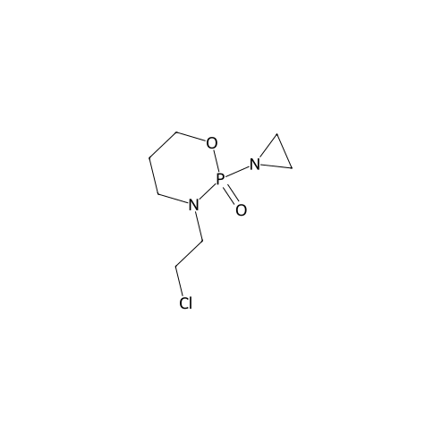 O=P1(N2CC2)OCCCN1CCCl